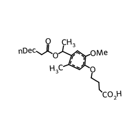 CCCCCCCCCCCC(=O)OC(C)c1cc(OC)c(OCCCC(=O)O)cc1C